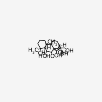 CC1(C)CCC[C@@]2(C)[C@H]1C(O)C(O)[C@]13C(O)[C@@H](CC[C@@H]12)[C@](O)(CO)C3O